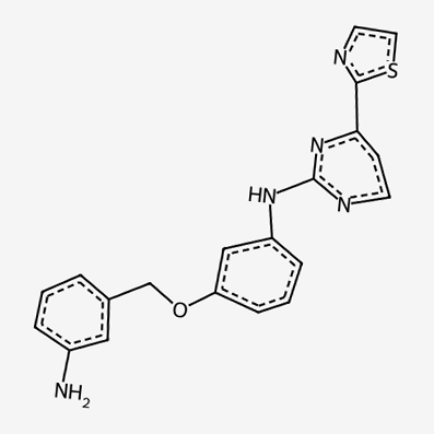 Nc1cccc(COc2cccc(Nc3nccc(-c4nccs4)n3)c2)c1